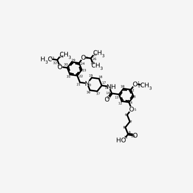 COc1cc(OCCCC(=O)O)cc(C(=O)NC2CCN(Cc3cc(OC(C)C)cc(OC(C)C)c3)CC2)c1